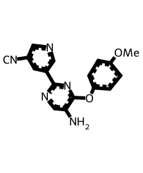 [C-]#[N+]c1cncc(-c2ncc(N)c(Oc3ccc(OC)cc3)n2)c1